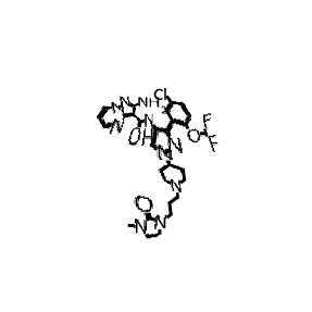 CN1CCN(CCCN2CCC(n3cc(NC(=O)c4c(N)nn5cccnc45)c(-c4cc(Cl)ccc4OC(F)F)n3)CC2)C1=O